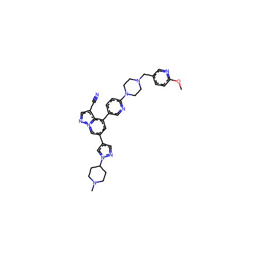 COc1ccc(CN2CCN(c3ccc(-c4cc(-c5cnn(C6CCN(C)CC6)c5)cn5ncc(C#N)c45)cn3)CC2)cn1